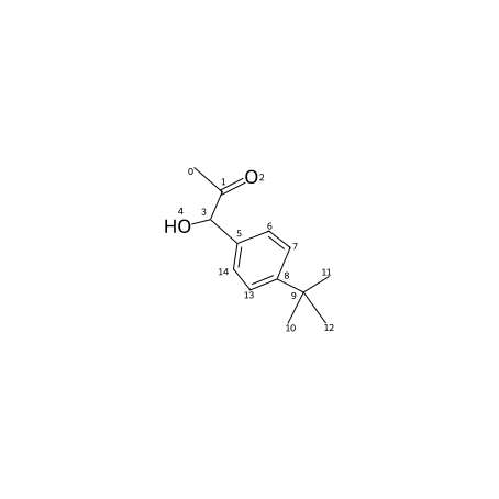 CC(=O)C(O)c1ccc(C(C)(C)C)cc1